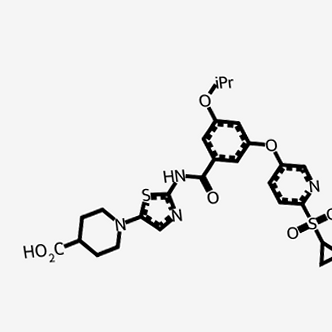 CC(C)Oc1cc(Oc2ccc(S(=O)(=O)C3CC3)nc2)cc(C(=O)Nc2ncc(N3CCC(C(=O)O)CC3)s2)c1